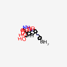 Bc1ccc(/C=C/c2ccc(O)c3c2C[C@H]2C[C@@H](CCO)[C@@](O)(C(=O)CC(N)=O)C(O)=C2C3=O)cc1